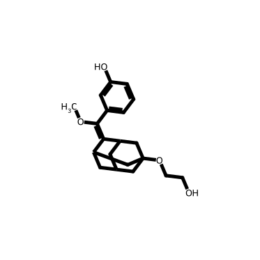 COC(=C1C2CC3CC1CC(OCCO)(C3)C2)c1cccc(O)c1